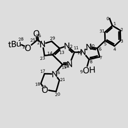 Cc1cccc(-c2cc(O)n(-c3nc4c(c(N5CCOCC5)n3)CN(C(=O)OC(C)(C)C)C4)n2)c1